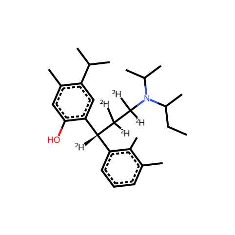 [2H]C([2H])(N(C(C)C)C(C)CC)C([2H])([2H])[C@@]([2H])(c1cc(C(C)C)c(C)cc1O)c1cccc(C)c1C